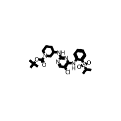 CC(C)S(=O)(=O)c1ccccc1Nc1nc(NC2CCCN(C(=O)OC(C)(C)C)C2)ncc1Cl